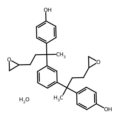 CC(CCC1CO1)(c1ccc(O)cc1)c1cccc(C(C)(CCC2CO2)c2ccc(O)cc2)c1.O